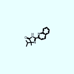 CC(C)C1(C)N=C(c2ccc3ccccc3n2)NC1=O